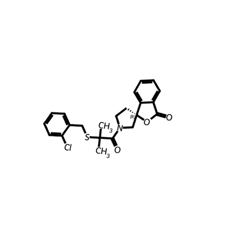 CC(C)(SCc1ccccc1Cl)C(=O)N1CC[C@@]2(C1)OC(=O)c1ccccc12